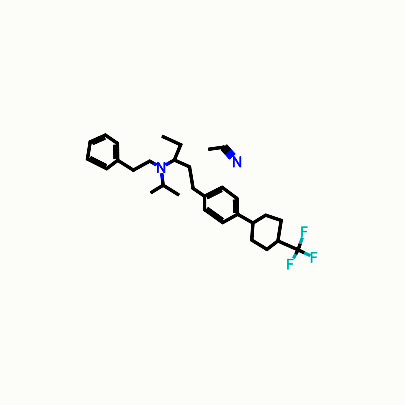 CC#N.CCC(CCc1ccc(C2CCC(C(F)(F)F)CC2)cc1)N(CCc1ccccc1)C(C)C